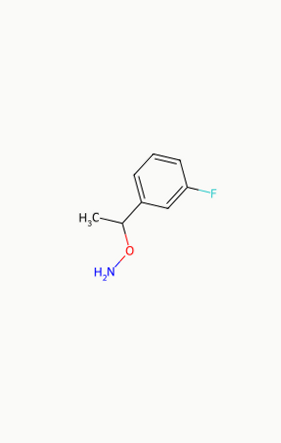 CC(ON)c1cccc(F)c1